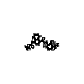 CC(C)(C)OC(=O)CC1CCC(C(=O)NCc2cccc(C(F)(F)F)c2Cl)c2cccnc21